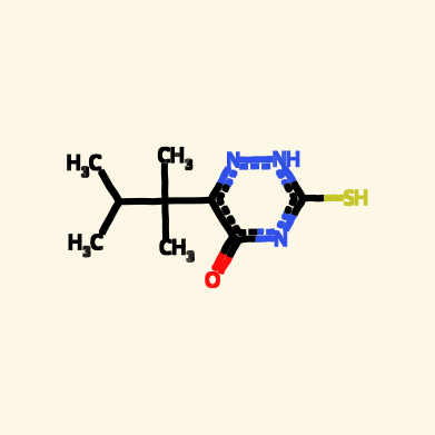 CC(C)C(C)(C)c1n[nH]c(S)nc1=O